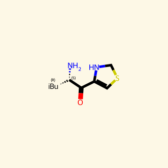 CC[C@@H](C)[C@H](N)C(=O)C1=CSCN1